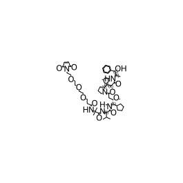 COC(CC(=O)N1CCC[C@H]1[C@H](OC)[C@@H](C)C(=O)N[C@H](C)[C@@H](O)c1ccccc1)[C@H](C1CCCC1)N(C)C(=O)[C@H](NC(=O)C(C)(C)NC(=O)CCOCCOCCOCCN1C(=O)C=CC1=O)C(C)C